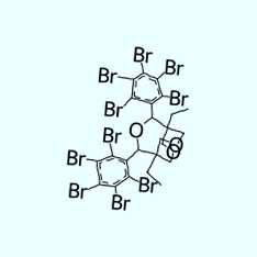 CCC1(C(OC(c2c(Br)c(Br)c(Br)c(Br)c2Br)C2(CC)COC2)c2c(Br)c(Br)c(Br)c(Br)c2Br)COC1